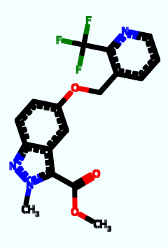 COC(=O)c1c2cc(OCc3cccnc3C(F)(F)F)ccc2nn1C